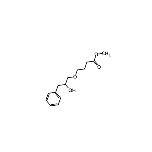 COC(=O)CCCOCC(O)Cc1ccccc1